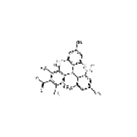 Cc1cc(C)c(B(c2c(C)cc(C)cc2C)c2c(C)c(C)c(C(=O)[O-])c(C)c2C)c(C)c1.[K+]